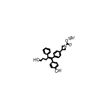 CC(C)(C)OC(=O)N1CC(c2ccc(C(=C(CCCO)c3ccccc3)c3ccc(O)cc3)cc2)C1